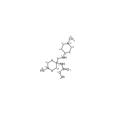 CC(C)OC(=O)NC1(CNC2CCN(C)CC2)CCN(S)CC1